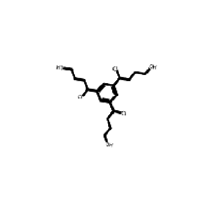 OCCCC(Cl)c1cc(C(Cl)CCCO)cc(C(Cl)CCCO)c1